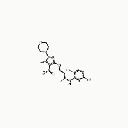 Cc1c([N+](=O)[O-])c(OCCC(C)Nc2nc(Cl)ncc2Cl)nn1C1CCOCC1